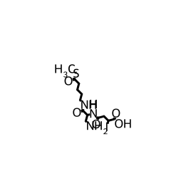 CSC(=O)CCCCNC(=O)C(CN)NC(=O)CC(I)C(=O)O